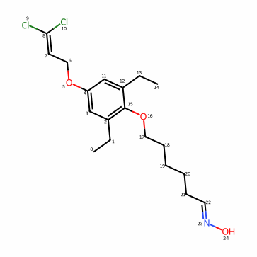 CCc1cc(OCC=C(Cl)Cl)cc(CC)c1OCCCCCC=NO